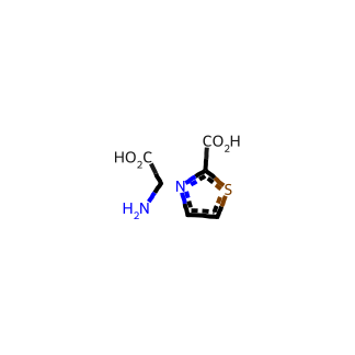 NCC(=O)O.O=C(O)c1nccs1